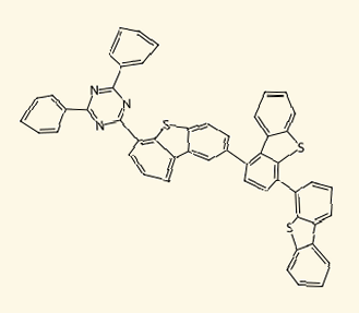 c1ccc(-c2nc(-c3ccccc3)nc(-c3cccc4c3sc3ccc(-c5ccc(-c6cccc7c6sc6ccccc67)c6sc7ccccc7c56)cc34)n2)cc1